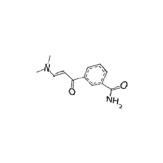 CN(C)/C=C/C(=O)c1cccc(C(N)=O)c1